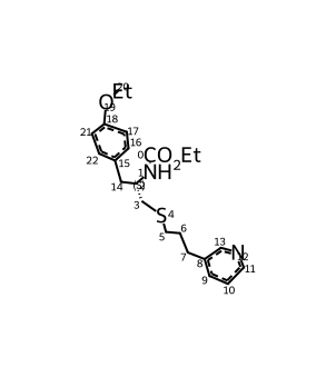 CCOC(=O)N[C@H](CSCCCc1cccnc1)Cc1ccc(OCC)cc1